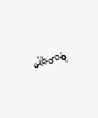 Nc1nc(N2CCCC(CN3CCN(c4cc(Cl)ccc4F)CC3)C2)nc2nc(-c3ccco3)nn12